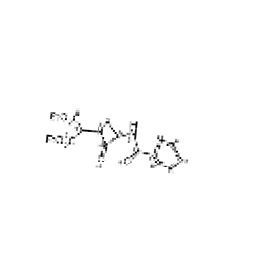 CCOC(=O)C(C(=O)OCC)N1CC(NC(=O)c2ccccc2)C1=O